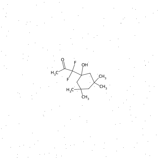 CC(=O)C(F)(F)C1(O)CC(C)(C)CC(C)(C)C1